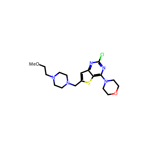 COCCN1CCN(Cc2cc3nc(Cl)nc(N4CCOCC4)c3s2)CC1